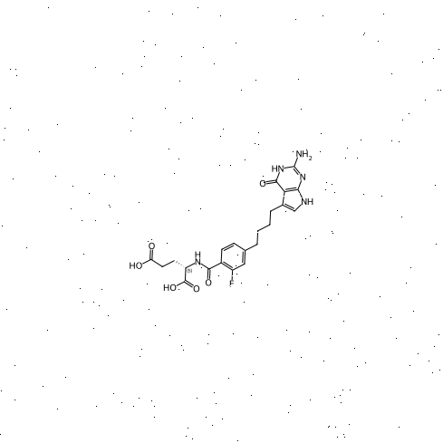 Nc1nc2[nH]cc(CCCCc3ccc(C(=O)N[C@@H](CCC(=O)O)C(=O)O)c(F)c3)c2c(=O)[nH]1